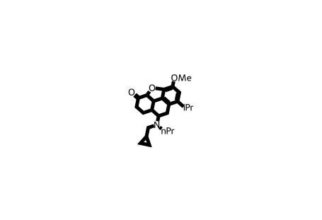 CCCN(CC1CC1)C1Cc2c(C(C)C)cc(OC)c3c2C2C(O3)C(=O)CCC21